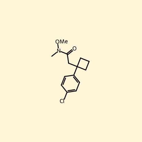 CON(C)C(=O)CC1(c2ccc(Cl)cc2)CCC1